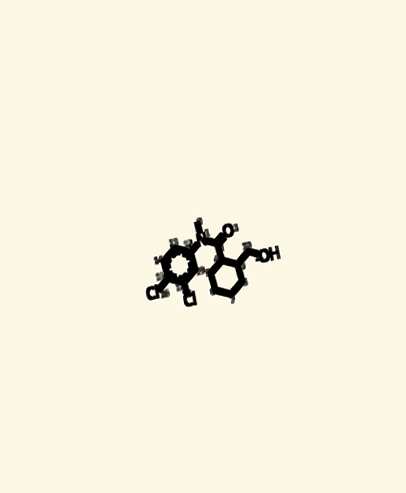 CN(C(=O)C1CCCCC1CO)c1ccc(Cl)c(Cl)c1